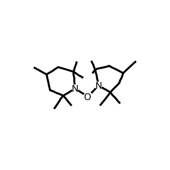 CC1CC(C)(C)N(ON2C(C)(C)CC(C)CC2(C)C)C(C)(C)C1